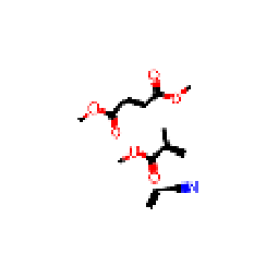 C=C(C)C(=O)OC.C=CC#N.COC(=O)/C=C/C(=O)OC